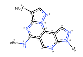 CCCCNc1nc2c(C(=O)O)cnn2c2c1cnc1c2cnn1CC